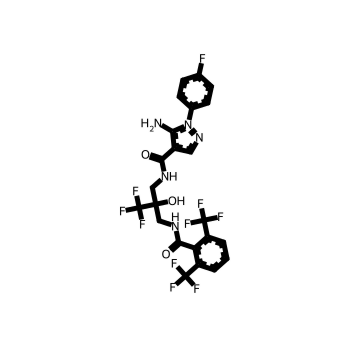 Nc1c(C(=O)NCC(O)(CNC(=O)c2c(C(F)(F)F)cccc2C(F)(F)F)C(F)(F)F)cnn1-c1ccc(F)cc1